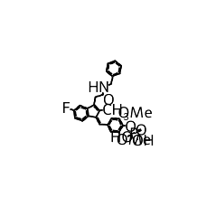 COc1cc(C=C2C(C)=C(CC(=O)NCc3ccccc3)c3cc(F)ccc32)cc(OC)c1OP(=O)(O)O